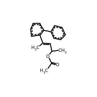 CC(=O)OC(C)C=C(C)c1ccccc1-c1ccccc1